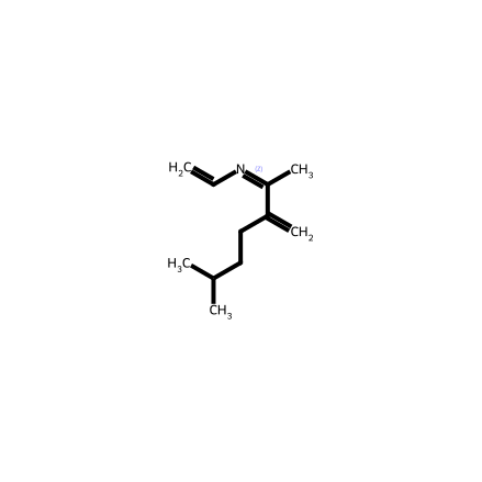 C=C/N=C(/C)C(=C)CCC(C)C